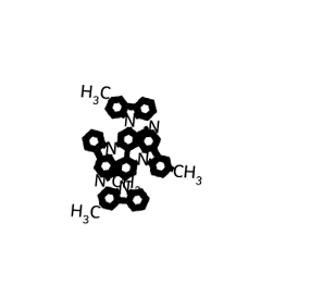 Cc1ccc2c(c1)c1ccccc1n2-c1cc(-n2c3ccccc3c3cc(C)ccc32)c(-c2cc(C#N)c(-n3c4ccccc4c4cc(C)ccc43)cc2-n2c3ccccc3c3ccc(C)cc32)cc1C#N